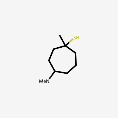 CNC1CCCC(C)(S)CC1